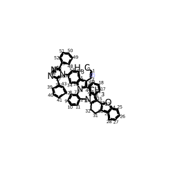 C/C=C\c1c(C)n(-c2ccccc2-n2c3c(c4ccccc42)-c2oc4ccccc4c2CC3)c2cc(-n3c(-c4ccccc4)nnc3-c3ccccc3)ccc12